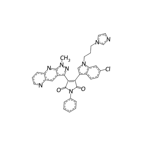 Cn1nc(C2=C(c3cn(CCCn4ccnc4)c4cc(Cl)ccc34)C(=O)N(c3ccccc3)C2=O)c2cc3ncccc3nc21